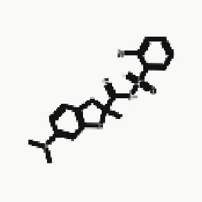 CN(C)c1ccc2c(c1)OC(C)(C(=O)NS(=O)(=O)c1ccccc1Br)C2